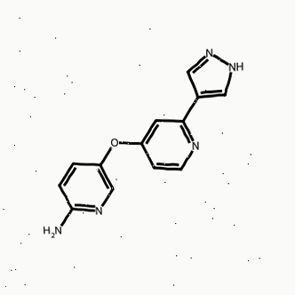 Nc1ccc(Oc2ccnc(-c3cn[nH]c3)c2)cn1